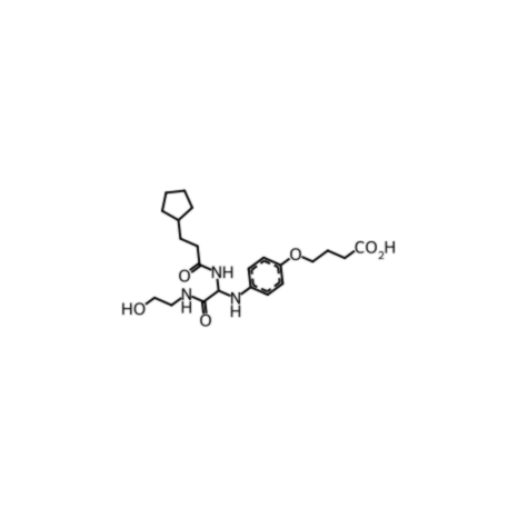 O=C(O)CCCOc1ccc(NC(NC(=O)CCC2CCCC2)C(=O)NCCO)cc1